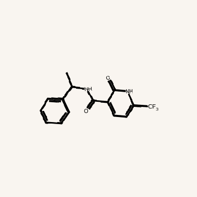 CC(NC(=O)c1ccc(C(F)(F)F)[nH]c1=O)c1ccccc1